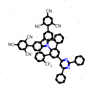 N#Cc1cc(C#N)c(-c2ccc3c(c2)c2cc(-c4c(C#N)cc(C#N)cc4C#N)ccc2n3-c2c(-c3ccccc3C(F)(F)F)cc(-c3cc(-c4ccccc4)nc(-c4ccccc4)n3)cc2-c2ccccc2C(F)(F)F)c(C#N)c1